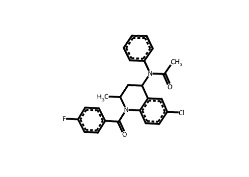 CC(=O)N(c1ccccc1)C1CC(C)N(C(=O)c2ccc(F)cc2)c2ccc(Cl)cc21